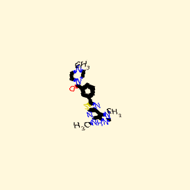 CNc1nc2sc(-c3cccc(C(=O)N4CCN(C)CC4)c3)nc2c2c1ncn2C